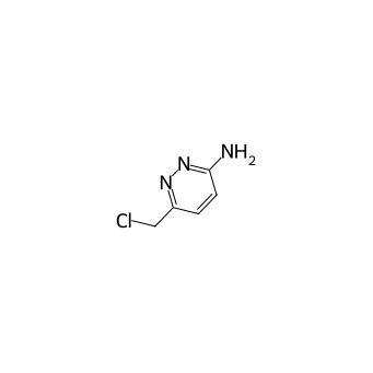 Nc1ccc(CCl)nn1